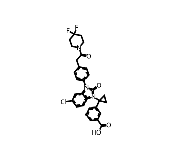 O=C(O)c1cccc(C2(n3c(=O)n(-c4ccc(CC(=O)N5CCC(F)(F)CC5)cc4)c4cc(Cl)ccc43)CC2)c1